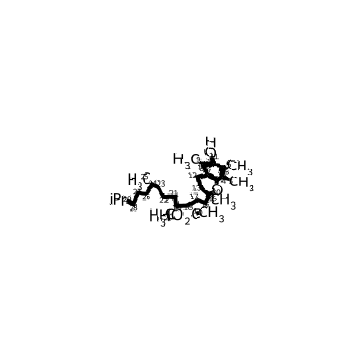 CC(=O)O.Cc1c(C)c2c(c(C)c1O)CC[C@@](C)(CCCC(C)CCCC(C)CCCC(C)C)O2